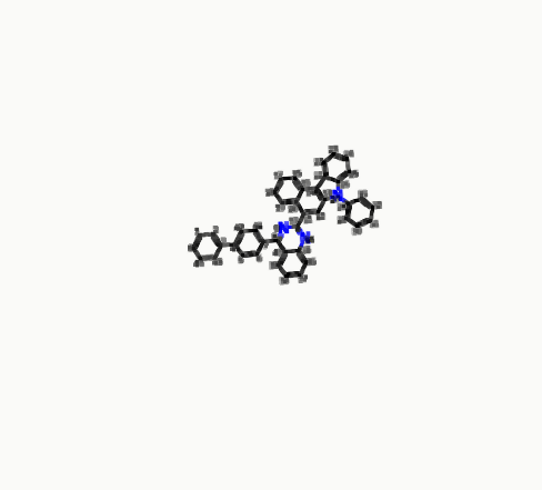 c1ccc(-c2ccc(-c3nc(-c4cc5c(c6ccccc46)c4ccccc4n5-c4ccccc4)nc4ccccc34)cc2)cc1